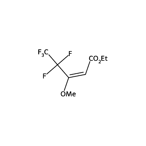 CCOC(=O)/C=C(/OC)C(F)(F)C(F)(F)F